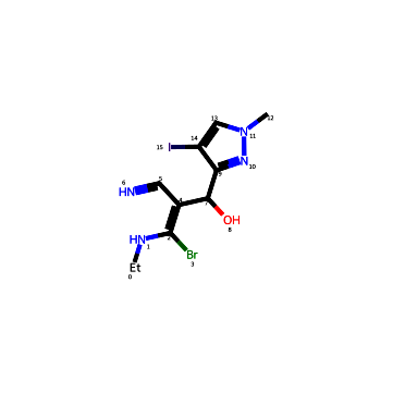 CCN/C(Br)=C(\C=N)C(O)c1nn(C)cc1I